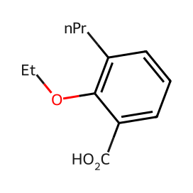 CCCc1cccc(C(=O)O)c1OCC